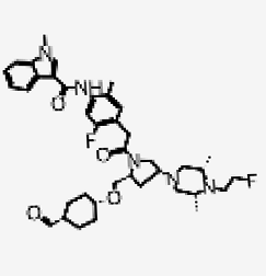 Cc1cc(CC(=O)N2C[C@@H](N3C[C@@H](C)N(CCF)[C@@H](C)C3)C[C@H]2CO[C@H]2CC[C@H](C=O)CC2)c(F)cc1NC(=O)c1cn(C)c2ccccc12